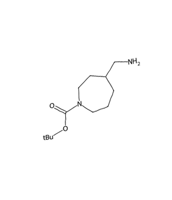 CC(C)(C)OC(=O)N1CCCC(CN)CC1